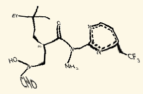 CCC(C)(C)C[C@H](CN(O)C=O)C(=O)N(N)c1nccc(C(F)(F)F)n1